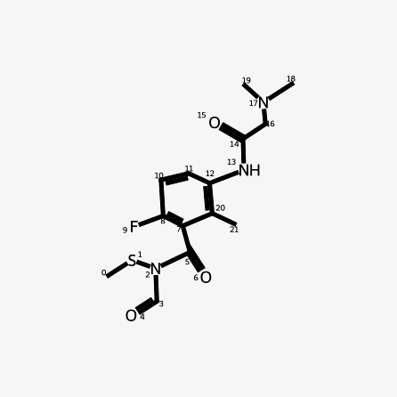 CSN(C=O)C(=O)c1c(F)ccc(NC(=O)CN(C)C)c1C